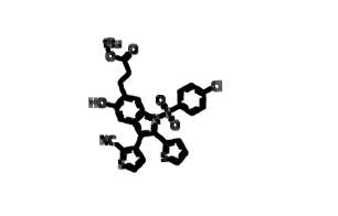 CC(C)(C)OC(=O)CCc1cc2c(cc1O)c(-c1ccsc1C#N)c(-c1cccs1)n2S(=O)(=O)c1ccc(Cl)cc1